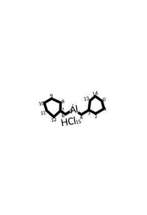 C1CCC([CH2][Al][CH2]C2CCCCC2)CC1.Cl